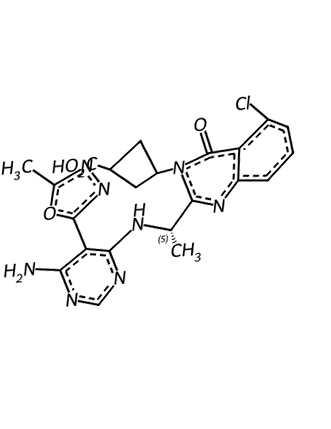 Cc1nnc(-c2c(N)ncnc2N[C@@H](C)c2nc3cccc(Cl)c3c(=O)n2C2CC(C(=O)O)C2)o1